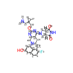 CCc1c(F)ccc2cc(O)cc(N3CCc4c(nc(OCC5(CN(C)C)CC5)nc4N4C[C@@H]5C(=O)NC(=O)[C@@H]5C4)C3)c12